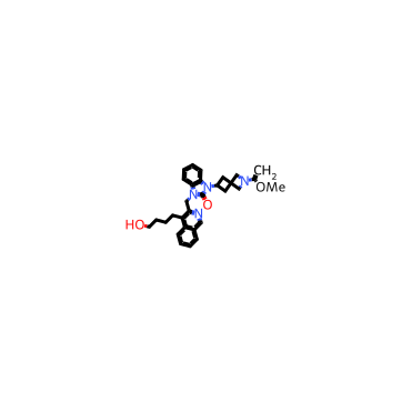 C=C(OC)N1CC2(CC(n3c(=O)n(Cc4ncc5ccccc5c4CCCCO)c4ccccc43)C2)C1